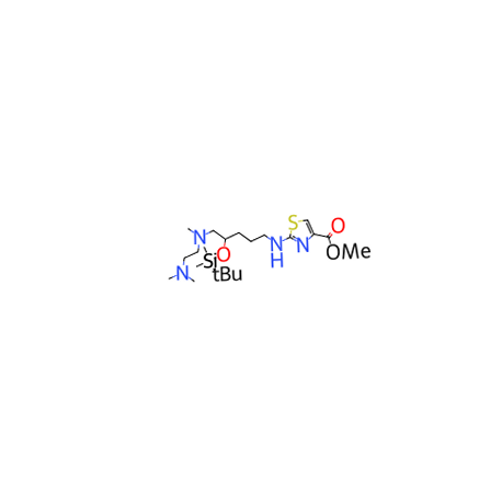 COC(=O)c1csc(NCCCC(CN(C)CCN(C)C)O[Si](C)(C)C(C)(C)C)n1